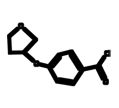 O=C(Cl)c1ccc(OC2CCOC2)cc1